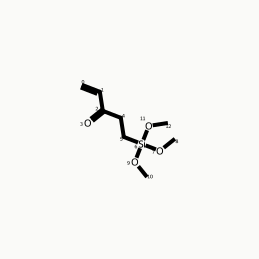 C=CC(=O)CC[Si](OC)(OC)OC